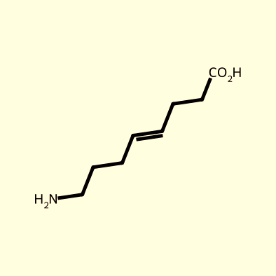 NCCCC=CCCC(=O)O